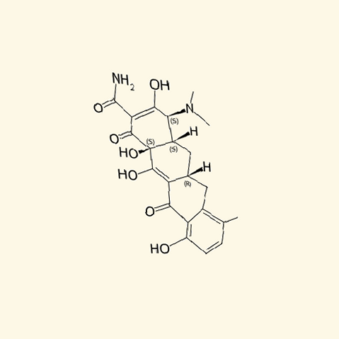 Cc1ccc(O)c2c1C[C@H]1C[C@H]3[C@H](N(C)C)C(O)=C(C(N)=O)C(=O)[C@@]3(O)C(O)=C1C2=O